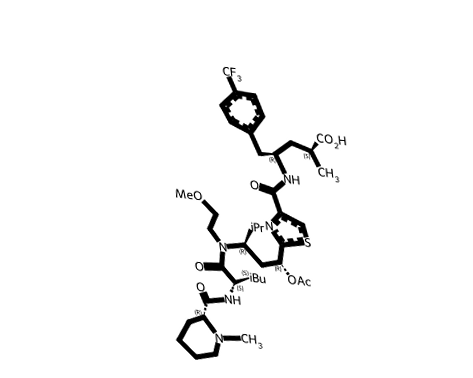 CC[C@H](C)[C@H](NC(=O)[C@H]1CCCCN1C)C(=O)N(CCOC)[C@H](C[C@@H](OC(C)=O)c1nc(C(=O)N[C@@H](Cc2ccc(C(F)(F)F)cc2)C[C@H](C)C(=O)O)cs1)C(C)C